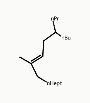 CCCCCCCCC(C)=CCC(CCC)CCCC